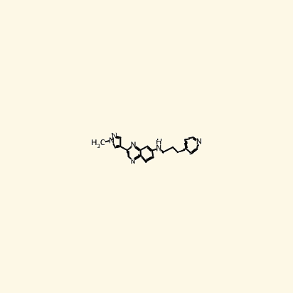 Cn1cc(-c2cnc3ccc(NCCCc4ccncc4)cc3n2)cn1